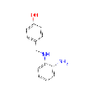 Nc1ccccc1NCc1ccc(O)cc1